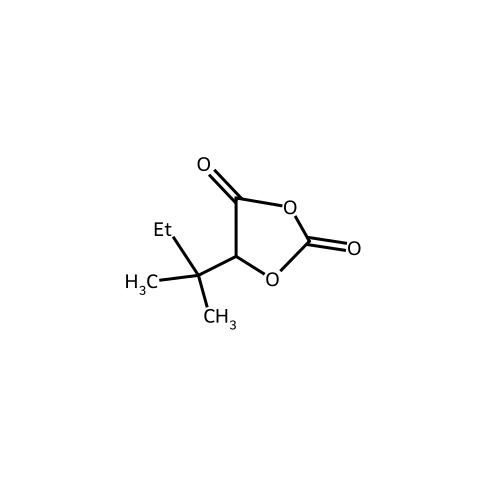 CCC(C)(C)C1OC(=O)OC1=O